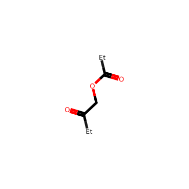 CCC(=O)COC(=O)CC